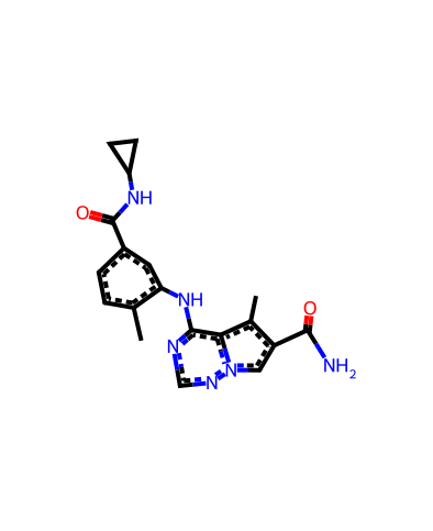 Cc1ccc(C(=O)NC2CC2)cc1Nc1ncnn2cc(C(N)=O)c(C)c12